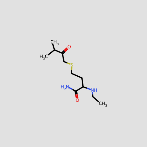 CCNC(CCSCC(=O)C(C)C)C(N)=O